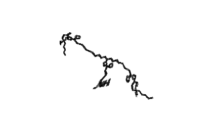 CCCCCC(F)(F)/C=C\C(C)OC(=O)CCCCCCCCC(CCCCCCCC(=O)OC(C)/C=C\C(F)(F)CCCCC)OC(=O)CCCNC